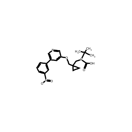 CC(C)(C)N(CC1(COc2cncc(-c3cccc([N+](=O)[O-])c3)c2)CC1)C(=O)O